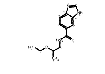 CCOC(C)CNC(=O)c1ccc2nc[nH]c2c1